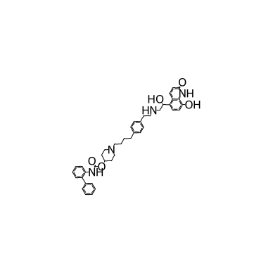 O=C(Nc1ccccc1-c1ccccc1)OC1CCN(CCCCc2ccc(CCNC[C@@H](O)c3ccc(O)c4[nH]c(=O)ccc34)cc2)CC1